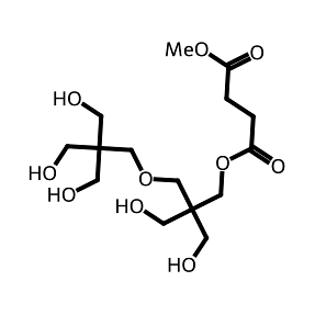 COC(=O)CCC(=O)OCC(CO)(CO)COCC(CO)(CO)CO